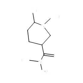 CON(C)C(=O)C1CCC(C)N(C(=O)O)C1